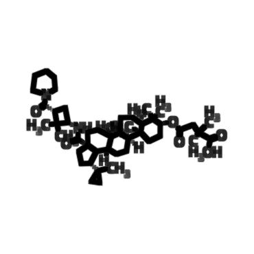 CC(C)(CC(=O)O[C@H]1CC[C@]2(C)[C@H]3CC[C@@H]4C5[C@H](C6(C)CC6)CC[C@]5(C(=O)N[C@H]5C[C@@H](C(=O)N6CCCCC6)C5(C)C)CC[C@@]4(C)[C@]3(C)CC[C@H]2C1(C)C)C(=O)O